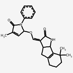 CC1=CC(OC=C2C(=O)NC3C4=C(CCCC4(C)C)CC23)N(c2ccccc2)C1=O